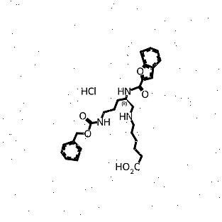 Cl.O=C(O)CCCCCNC[C@@H](CCCNC(=O)OCc1ccccc1)NC(=O)c1cc2ccccc2o1